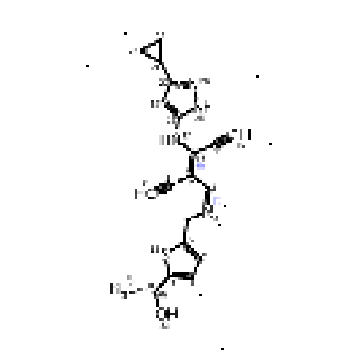 C#CC(/C=N\Cc1ccc([C@@H](C)O)s1)=C(/C#C)Nc1cc(C2CC2)n[nH]1